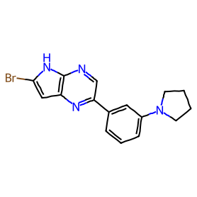 Brc1cc2nc(-c3cccc(N4CCCC4)c3)cnc2[nH]1